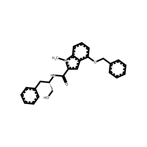 Cn1c(C(=O)N[C@H](CO)Cc2ccccc2)cc2c(OCc3ccccc3)cccc21